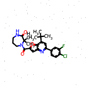 CC(C)(C)c1cc(-c2ccc(Cl)c(F)c2)nc2cc(C(=O)N3CCCNC(=O)C3(C)C)oc12